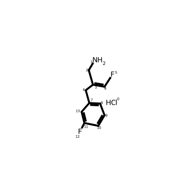 Cl.NCC(=CF)Cc1cccc(F)c1